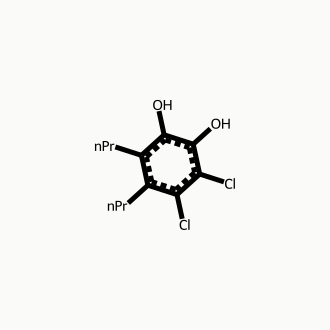 CCCc1c(O)c(O)c(Cl)c(Cl)c1CCC